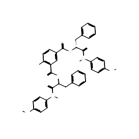 COc1ccc(N(C)C(=O)C(Cc2ccccc2)NC(=O)c2cc(C(=O)N[C@@H](Cc3ccccc3)C(=O)N(C)c3ccc(OC)cc3)ccc2F)cc1